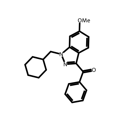 COc1ccc2c(C(=O)c3ccccc3)nn(CC3CCCCC3)c2c1